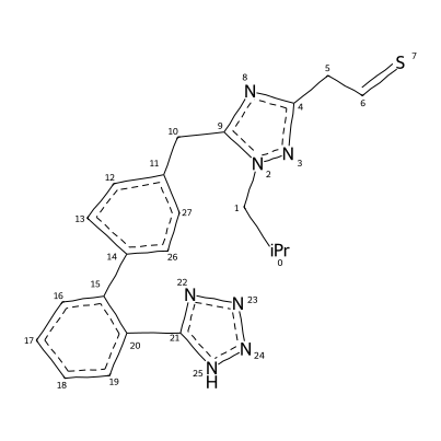 CC(C)Cn1nc(CC=S)nc1Cc1ccc(-c2ccccc2-c2nnn[nH]2)cc1